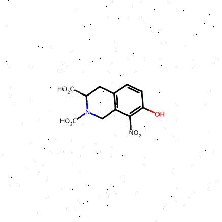 O=C(O)C1Cc2ccc(O)c([N+](=O)[O-])c2CN1C(=O)O